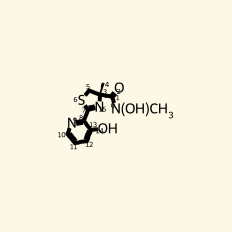 CN(O)C(=O)[C@@]1(C)CSC(c2ncccc2O)=N1